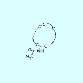 CC(=O)NC1CCCCCCCCCCCCCCC1